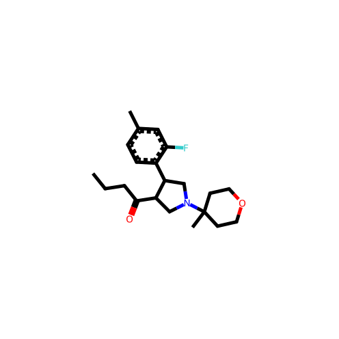 CCCC(=O)C1CN(C2(C)CCOCC2)CC1c1ccc(C)cc1F